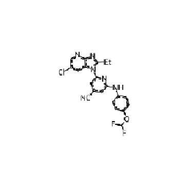 CCc1nc2ncc(Cl)cc2n1-c1cc(C#N)cc(Nc2ccc(OC(F)F)cc2)n1